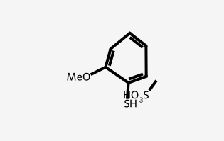 COc1ccccc1S.CS(=O)(=O)O